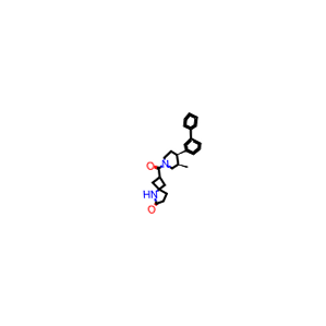 C[C@H]1CN(C(=O)C2CC3(CCC(=O)N3)C2)CC[C@H]1c1cccc(-c2ccccc2)c1